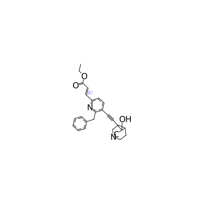 CCOC(=O)/C=C/c1ccc(C#CC2(O)CN3CCC2CC3)c(Cc2ccccc2)n1